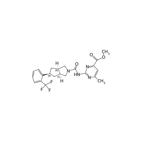 COC(=O)c1cc(C)nc(NC(=O)N2C[C@H]3C[C@@H](c4ccccc4C(F)(F)F)C[C@H]3C2)n1